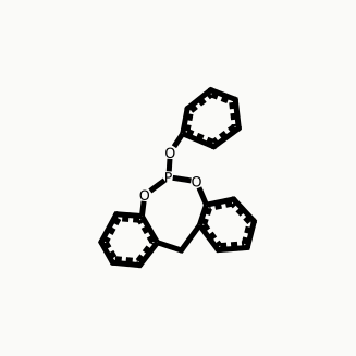 c1ccc(OP2Oc3ccccc3Cc3ccccc3O2)cc1